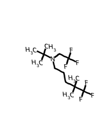 CC(C)(C)N(CCCC(C)(C)C(F)(F)F)CC(F)(F)F